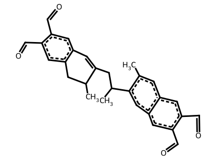 Cc1cc2cc(C=O)c(C=O)cc2cc1C(C)CC1=Cc2cc(C=O)c(C=O)cc2CC1C